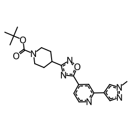 Cn1cc(-c2cc(-c3nc(C4CCN(C(=O)OC(C)(C)C)CC4)no3)ccn2)cn1